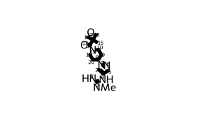 CNC(=N)Nc1cnn(C2CCN(C(=O)C3(C)COC3)CC2)c1